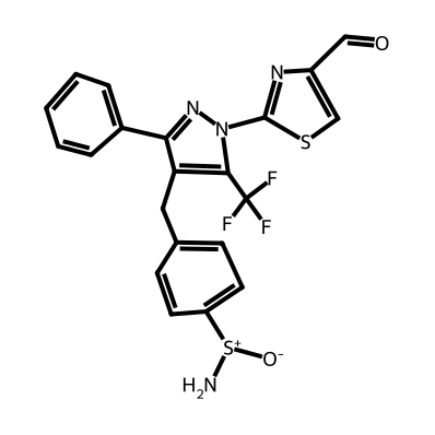 N[S+]([O-])c1ccc(Cc2c(-c3ccccc3)nn(-c3nc(C=O)cs3)c2C(F)(F)F)cc1